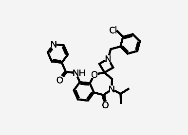 CC(C)N1CC2(CN(Cc3ccccc3Cl)C2)Oc2c(NC(=O)c3ccncc3)cccc2C1=O